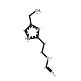 CCc1c[nH]c(CCOC=O)n1